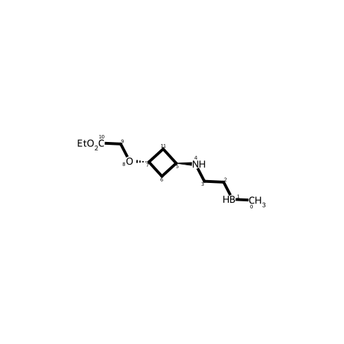 CBCCN[C@H]1C[C@H](OCC(=O)OCC)C1